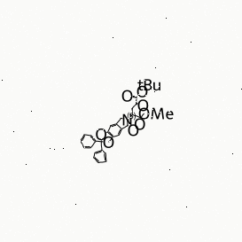 COC(=O)[C@H](CC(=O)C(=O)OC(C)(C)C)N1Cc2cc3c(cc2C1=O)OC(c1ccccc1)(c1ccccc1)O3